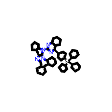 c1ccc([Si](c2ccccc2)(c2ccccc2)c2ccc(-c3nc(-n4c5ccccc5c5nc6c7ccccc7c7ccccc7n6c54)nc4ccccc34)cc2)cc1